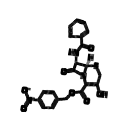 O=C(OCc1ccc([N+](=O)[O-])cc1)C1=C(O)CS[C@@H]2C(NC(=O)c3ccccc3)C(=O)N12